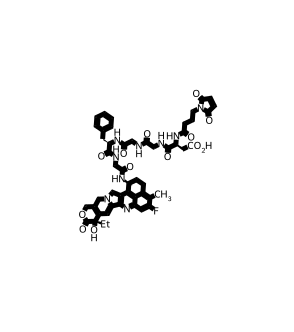 CC[C@@]1(O)C(=O)OCC2=C1C=C1c3nc4cc(F)c(C)c5c4c(c3CN1C2)[C@@H](NC(=O)CNC(=O)[C@H](Cc1ccccc1)NC(=O)CNC(=O)CNC(=O)[C@H](CC(=O)O)NC(=O)CCCN1C(=O)C=CC1=O)CC5